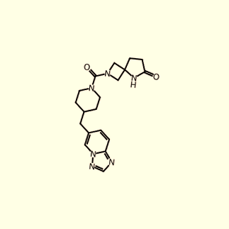 O=C1CCC2(CN(C(=O)N3CCC(Cc4ccc5ncnn5c4)CC3)C2)N1